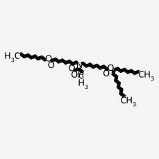 CCCCCCCCCOC(=O)CCCCCCCN(CCCCCCCC(=O)OC(CCCCCCCC)CCCCCCCCC)C(CC)C(=O)O